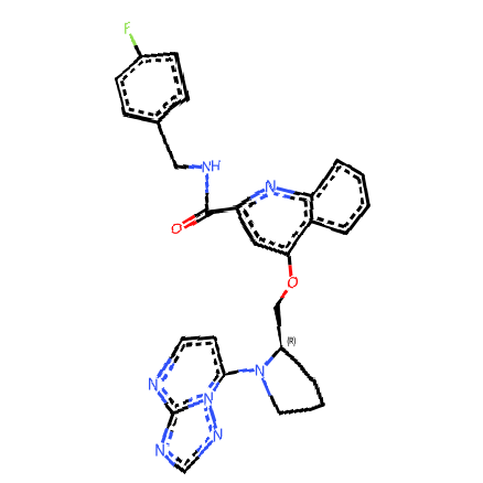 O=C(NCc1ccc(F)cc1)c1cc(OC[C@H]2CCCN2c2ccnc3ncnn23)c2ccccc2n1